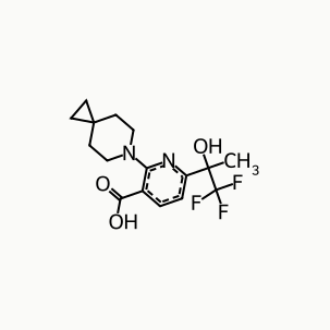 CC(O)(c1ccc(C(=O)O)c(N2CCC3(CC2)CC3)n1)C(F)(F)F